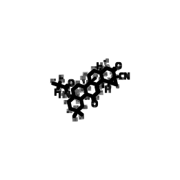 C[C@@H]1C(=O)[C@]2(C#N)C[C@@H]2[C@]2(C)C3=CC(=O)C4C5CC(C)(C)CC[C@]5(NC(=O)C(C)(F)F)CC[C@@]4(C)[C@]3(C)CC[C@@H]12